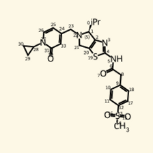 CC(C)[C@H]1c2nc(NC(=O)Cc3ccc(S(C)(=O)=O)cc3)sc2CN1Cc1ccn(C2CC2)c(=O)c1